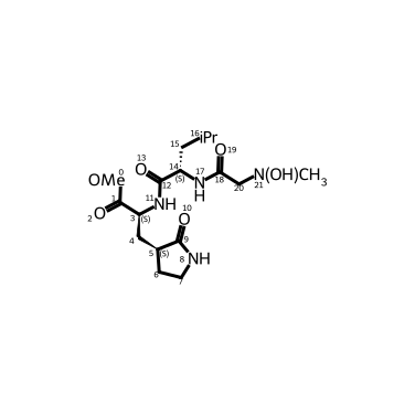 COC(=O)[C@H](C[C@@H]1CCNC1=O)NC(=O)[C@H](CC(C)C)NC(=O)CN(C)O